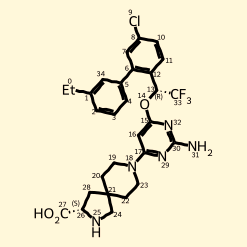 CCc1cccc(-c2cc(Cl)ccc2[C@@H](Oc2cc(N3CCC4(CC3)CN[C@H](C(=O)O)C4)nc(N)n2)C(F)(F)F)c1